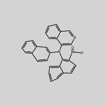 O=[N+]([O-])c1ccc2ccccc2c1N(c1ccc2ccccc2c1)c1cncc2ccccc12